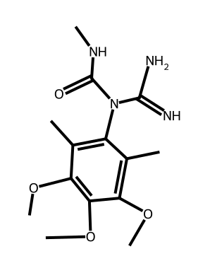 CNC(=O)N(C(=N)N)c1c(C)c(OC)c(OC)c(OC)c1C